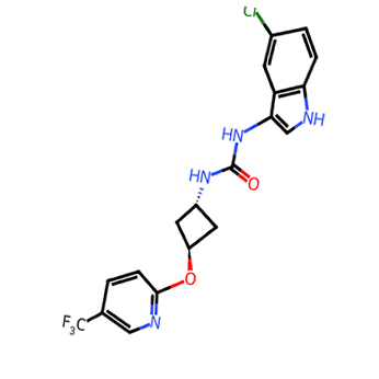 O=C(Nc1c[nH]c2ccc(Cl)cc12)N[C@H]1C[C@H](Oc2ccc(C(F)(F)F)cn2)C1